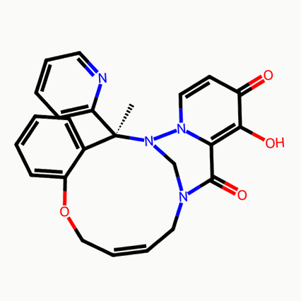 C[C@@]1(c2ccccn2)c2ccccc2OC/C=C\CN2CN1n1ccc(=O)c(O)c1C2=O